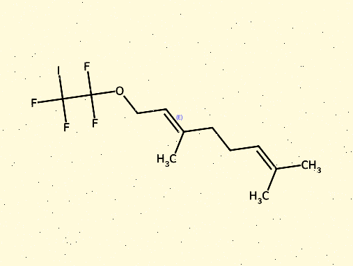 CC(C)=CCC/C(C)=C/COC(F)(F)C(F)(F)I